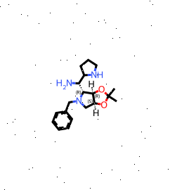 CC1(C)O[C@H]2[C@H](CN(Cc3ccccc3)[C@@H]2C(N)C2CCCN2)O1